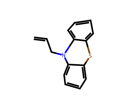 C=CCN1c2ccccc2Sc2ccccc21